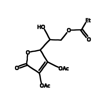 CCC(=O)OCC(O)C1OC(=O)C(OC(C)=O)=C1OC(C)=O